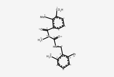 CNc1c(C(=O)O)cccc1C(=O)N(C)C(=O)NCc1c(C)cccc1C(C)C